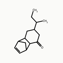 CCC(C)C1CC(=O)C2C3C=CC(C3)C2C1